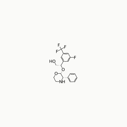 OC[C@@H](O[C@H]1OCCN[C@H]1c1ccccc1)c1cc(F)cc(C(F)(F)F)c1